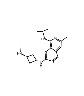 CN[C@H]1C[C@H](Nc2ncc3cc(C)nc(NC(C)C)c3n2)C1